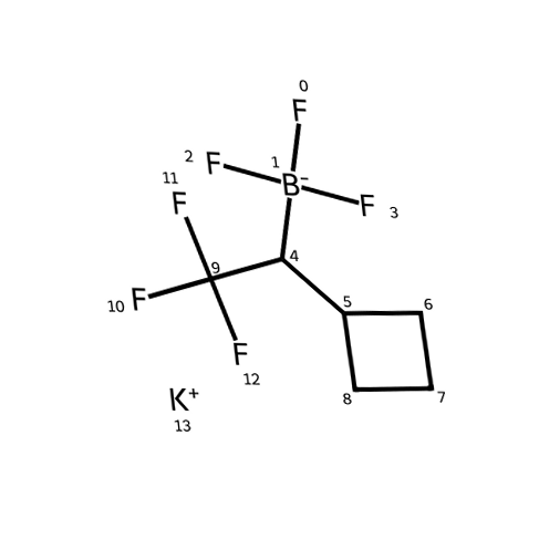 F[B-](F)(F)C(C1CCC1)C(F)(F)F.[K+]